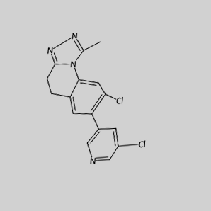 Cc1nnc2n1-c1cc(Cl)c(-c3cncc(Cl)c3)cc1CC2